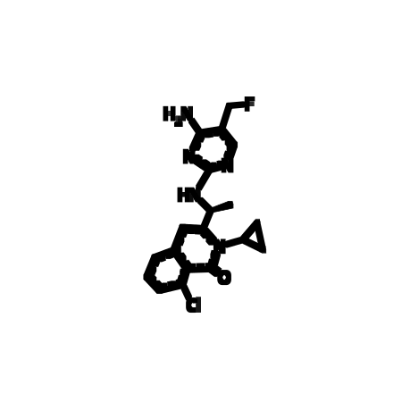 C[C@H](Nc1ncc(CF)c(N)n1)c1cc2cccc(Cl)c2c(=O)n1C1CC1